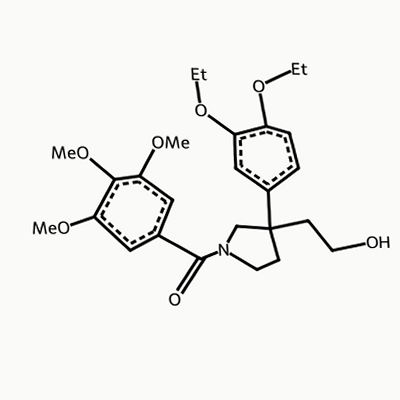 CCOc1ccc(C2(CCO)CCN(C(=O)c3cc(OC)c(OC)c(OC)c3)C2)cc1OCC